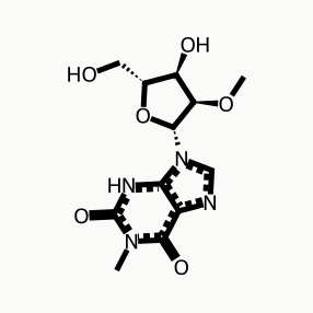 CO[C@@H]1[C@H](O)[C@@H](CO)O[C@H]1n1cnc2c(=O)n(C)c(=O)[nH]c21